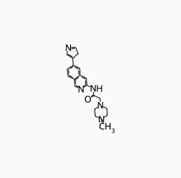 CN1CCN(CC(=O)Nc2cc3cc(C4=CN=CC4)ccc3cn2)CC1